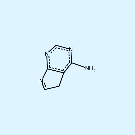 Nc1ncnc2c1CC=N2